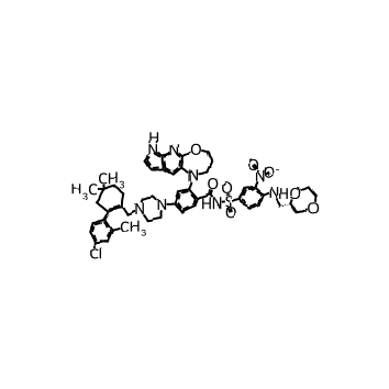 Cc1cc(Cl)ccc1C1=C(CN2CCN(c3ccc(C(=O)NS(=O)(=O)c4ccc(NC[C@H]5COCCO5)c([N+](=O)[O-])c4)c(N4CCCOc5nc6[nH]ccc6cc54)c3)CC2)CCC(C)(C)C1